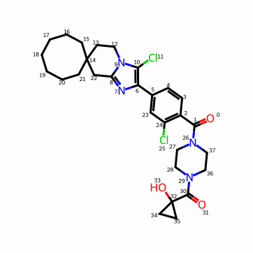 O=C(c1ccc(-c2nc3n(c2Cl)CCC2(CCCCCCC2)C3)cc1Cl)N1CCN(C(=O)C2(O)CC2)CC1